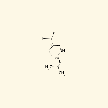 CN(C)C[C@H]1CC[C@H](C(F)F)CN1